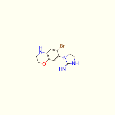 N=C1NCCN1c1cc2c(cc1Br)NCCO2